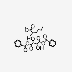 CCCCC(C)C(=O)OC.O=C(OC(=O)C(O)C(O)C(=O)OC(=O)c1ccccc1)c1ccccc1